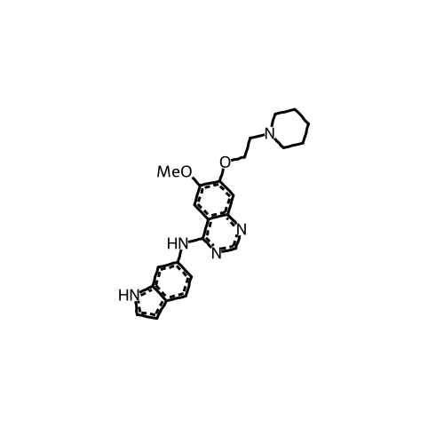 COc1cc2c(Nc3ccc4cc[nH]c4c3)ncnc2cc1OCCN1CCCCC1